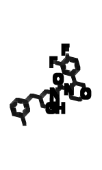 Cc1cccc(CC(CO)CNC(=O)N2CCOCC2c2ccc(F)c(F)c2)c1